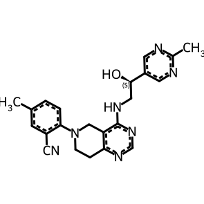 Cc1ccc(N2CCc3ncnc(NC[C@@H](O)c4cnc(C)nc4)c3C2)c(C#N)c1